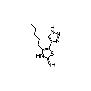 CCCCCc1[nH]c(=N)sc1-c1c[nH]nn1